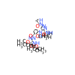 [2H]C([2H])([2H])NC(=O)c1nnc(NC(=O)C2CC2)cc1Nc1cccc(-c2nc([C@H](NC(=O)OC(C)(C)C)[C@H](C)OC(C)(C)C)no2)c1OC